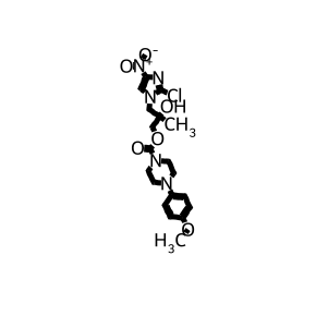 COc1ccc(N2CCN(C(=O)OCC(C)(O)Cn3cc([N+](=O)[O-])nc3Cl)CC2)cc1